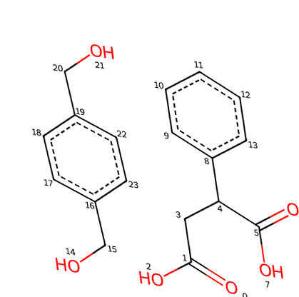 O=C(O)CC(C(=O)O)c1ccccc1.OCc1ccc(CO)cc1